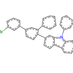 Brc1cccc(-c2ccc(-c3ccc4c5ccccc5n(-c5ccccc5)c4c3)c(-c3ccccc3)c2)c1